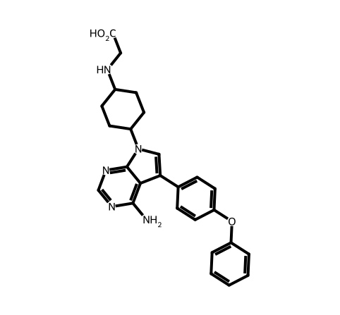 Nc1ncnc2c1c(-c1ccc(Oc3ccccc3)cc1)cn2C1CCC(NCC(=O)O)CC1